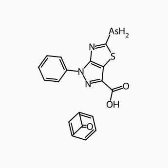 O=C(O)c1nn(-c2ccccc2)c2nc([AsH2])sc12.O=C1c2cccc1c2